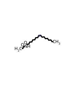 C=CC(=O)NC(=O)CCCCCCC/C=C\CCCCCCCC